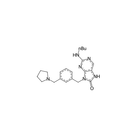 CCCCNc1ncc2[nH]c(=O)n(Cc3cccc(CN4CCCC4)c3)c2n1